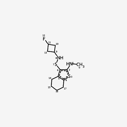 CNc1sc2c(c1SNC1CC(F)C1)CCCC2